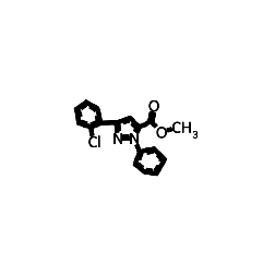 COC(=O)c1cc(-c2ccccc2Cl)nn1-c1ccccc1